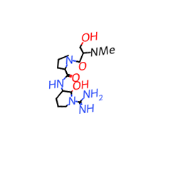 CNC(CO)C(=O)N1CCCC1C(=O)NC1CCCN(C(=N)N)C1O